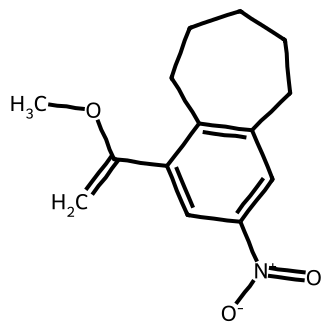 C=C(OC)c1cc([N+](=O)[O-])cc2c1CCCCC2